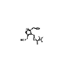 CC(C)Cc1ncc(CO)n1COC(C)[Si](C)(C)C